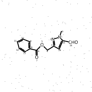 Cn1nc(COC(=O)c2ccccc2)cc1C=O